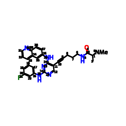 CN[C@@H](C)C(=O)NCCCC#Cc1cnc(Nc2cccc(F)c2)nc1Nc1ccc2ncccc2c1